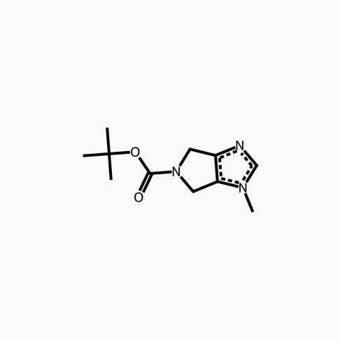 Cn1cnc2c1CN(C(=O)OC(C)(C)C)C2